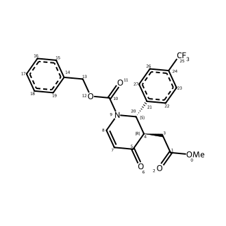 COC(=O)C[C@H]1C(=O)C=CN(C(=O)OCc2ccccc2)[C@@H]1c1ccc(C(F)(F)F)cc1